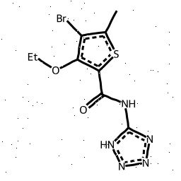 CCOc1c(C(=O)Nc2nnn[nH]2)sc(C)c1Br